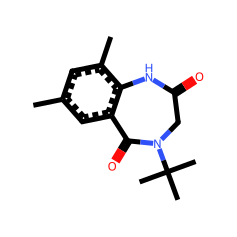 Cc1cc(C)c2c(c1)C(=O)N(C(C)(C)C)CC(=O)N2